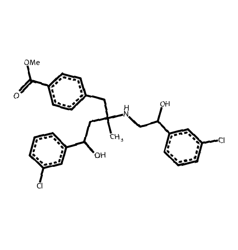 COC(=O)c1ccc(CC(C)(CC(O)c2cccc(Cl)c2)NCC(O)c2cccc(Cl)c2)cc1